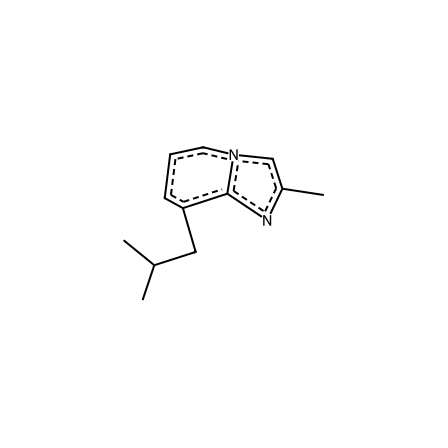 Cc1cn2cccc(CC(C)C)c2n1